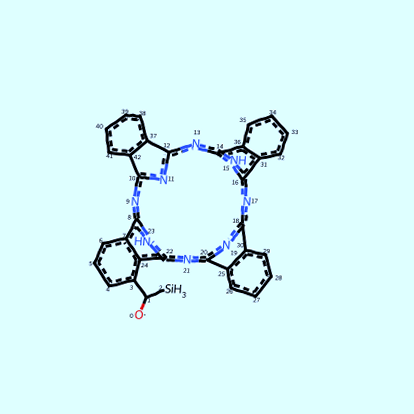 [O]C([SiH3])c1cccc2c3nc4nc(nc5[nH]c(nc6nc(nc([nH]3)c12)-c1ccccc1-6)c1ccccc51)-c1ccccc1-4